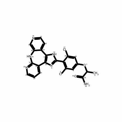 CC(Oc1cc(Cl)c(-c2nc3c([nH]2)-c2ccncc2Nc2ncccc2-3)c(Cl)c1)C(N)=O